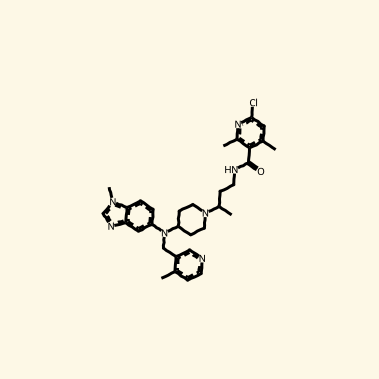 Cc1ccncc1CN(c1ccc2c(c1)ncn2C)C1CCN(C(C)CCNC(=O)c2c(C)cc(Cl)nc2C)CC1